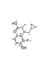 CC(C(=O)O)C(CC1CC1)c1cccc(O)c1F